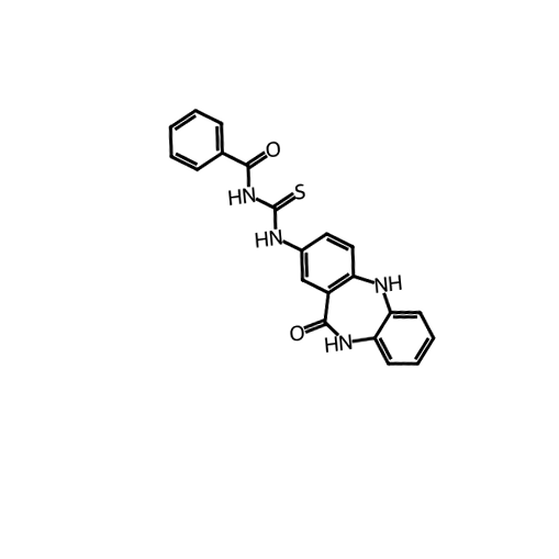 O=C(NC(=S)Nc1ccc2c(c1)C(=O)Nc1ccccc1N2)c1ccccc1